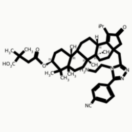 CC(C)C1=C2[C@H]3CCC4[C@@]5(C)CC[C@H](OC(=O)CC(C)(C)C(=O)O)C(C)(C)C5(C)CC[C@@]4(C)[C@]3(C)CCC2(Cc2nnc(-c3ccc(C#N)cc3)n2CCN)CC1=O